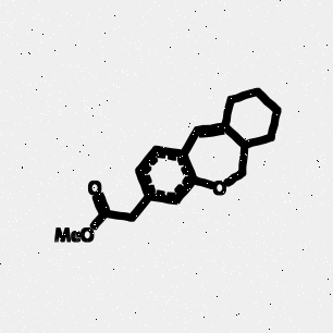 COC(=O)Cc1ccc2c(c1)OCC1CCCCC1=C2